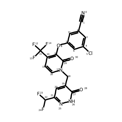 N#Cc1cc(Cl)cc(Oc2c(C(F)(F)F)ccn(Cc3cc(C(F)F)n[nH]c3=O)c2=O)c1